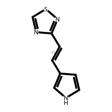 C(=C\c1ncsn1)/c1cc[nH]c1